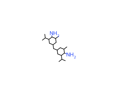 CC(C)C1CC(CC2CC(C)C(N)C(C(C)C)C2)CC(C)C1N